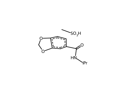 CC(C)NC(=O)c1ccc2c(c1)OCO2.CS(=O)(=O)O